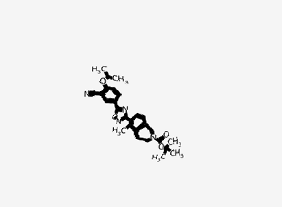 Cc1c(-c2noc(-c3ccc(OC(C)C)c(C#N)c3)n2)ccc2c1CCN(C(=O)OC(C)(C)C)C2